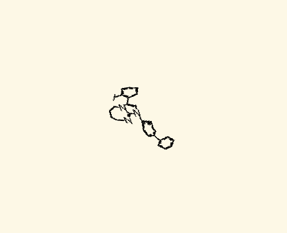 Ic1ccccc1C1=CN(c2ccc(-c3ccccc3)cc2)C2=NCCCCN12